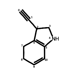 C#CC1CNC2=C1CCC=C2